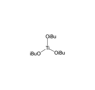 CC(C)C[O][Ti]([O]CC(C)C)[O]CC(C)C